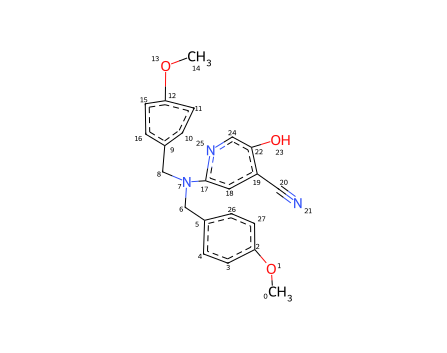 COc1ccc(CN(Cc2ccc(OC)cc2)c2cc(C#N)c(O)cn2)cc1